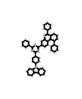 c1ccc(-c2nc(-c3ccc(-n4c5ccccc5c5ccccc54)cc3)nc(-c3ccc4c(c3)nc(-c3ccccc3)c3cccc(-c5ccccc5)c34)n2)cc1